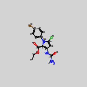 CCOC(=O)c1c(NC(N)=O)cc(Cl)n1-c1ccc(Br)cc1